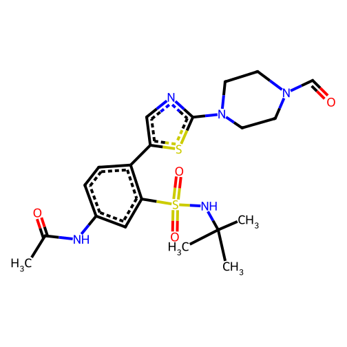 CC(=O)Nc1ccc(-c2cnc(N3CCN(C=O)CC3)s2)c(S(=O)(=O)NC(C)(C)C)c1